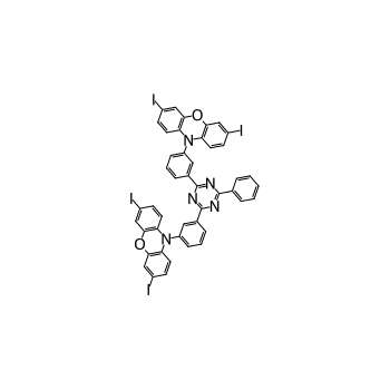 Ic1ccc2c(c1)Oc1cc(I)ccc1N2c1cccc(-c2nc(-c3ccccc3)nc(-c3cccc(N4c5ccc(I)cc5Oc5cc(I)ccc54)c3)n2)c1